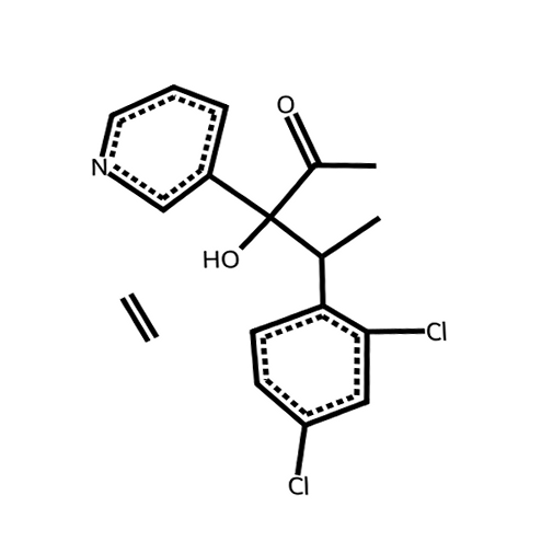 C=C.CC(=O)C(O)(c1cccnc1)C(C)c1ccc(Cl)cc1Cl